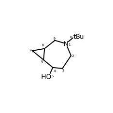 CC(C)(C)N1CCC(O)C2CC2C1